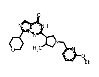 CCOc1cccc(CN2CC(C)C(c3nn4c(C5CCOCC5)ncc4c(=O)[nH]3)C2)n1